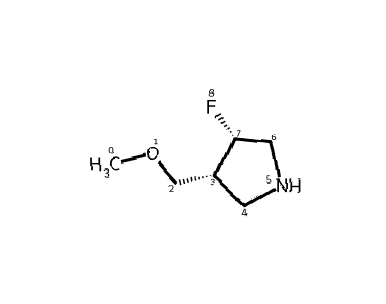 COC[C@H]1CNC[C@H]1F